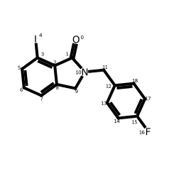 O=C1c2c(I)cccc2CN1Cc1ccc(F)cc1